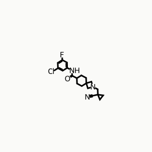 N#CC1(CN2CC3(CCC(C(=O)Nc4cc(F)cc(Cl)c4)CC3)C2)CC1